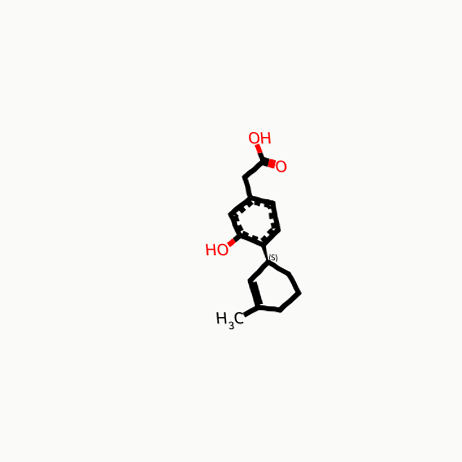 CC1=C[C@@H](c2ccc(CC(=O)O)cc2O)CCC1